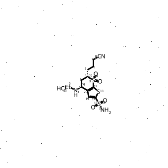 CCN[C@H]1C[C@H](CCCC#N)S(=O)(=O)c2sc(S(N)(=O)=O)cc21.Cl